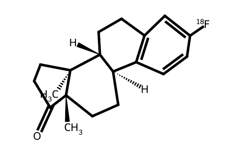 C[C@@]12CCC(=O)[C@@]1(C)CC[C@@H]1c3ccc([18F])cc3CC[C@H]12